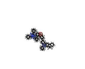 CC1(C)c2ccccc2-c2cc3c4cc(-c5ccc6oc7cccc(-c8ccccc8-c8nc(-c9ccccc9)nc(-c9ccccc9)n8)c7c6c5)ccc4n(-c4ccccc4)c3cc21